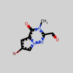 Cn1c(C=O)nn2cc(Br)cc2c1=O